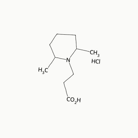 CC1CCCC(C)N1CCC(=O)O.Cl